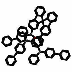 c1ccc(-c2ccc(N(c3ccccc3)c3cc(-c4ccc5c(c4)C4(c6ccccc6-5)c5ccccc5-c5ccc(N(c6ccccc6)c6ccc(-c7ccccc7)cc6)cc54)cc(N(c4ccccc4)c4ccc(-c5ccccc5)cc4)c3)cc2)cc1